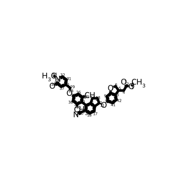 COC(=O)CC1COc2cc(O[C@@H]3CCc4c3ccc(C#N)c4-c3c(C)cc(OCc4ccn(C)c(=O)c4)cc3C)ccc21